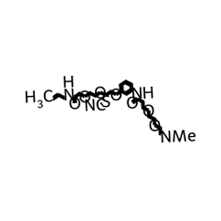 C/C=C/CNC(=O)COCCOC(COc1cccc(NC(=O)CCOCCOCCNC)c1)SC#N